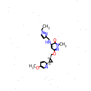 CCn1ccc(CNc2cc(OC[C@H]3C[C@@H]3c3ccc(OC)cn3)nn(C)c2=O)n1